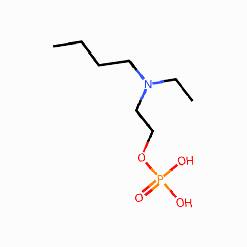 CCCCN(CC)CCOP(=O)(O)O